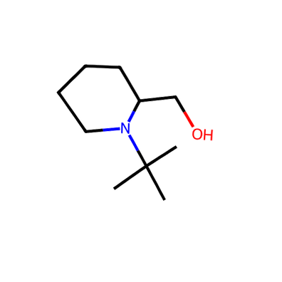 CC(C)(C)N1CCCCC1CO